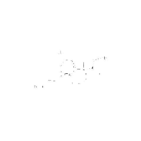 CCOC(=O)CCc1cc(Cl)cc2c1OCCC2(C)C(=O)OC(C)(C)C